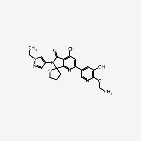 CCOc1ncc(-c2cc(C)c3c(n2)C2(CCCO2)N(c2cnn(CC)c2)C3=O)cc1O